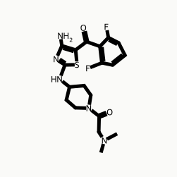 CN(C)CC(=O)N1CCC(Nc2nc(N)c(C(=O)c3c(F)cccc3F)s2)CC1